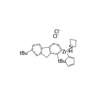 CC(C)(C)c1ccc2c(c1)Cc1c-2cc[c]([Zr+2]([C]2=CC=CC2)[SiH]2CCC2)c1C(C)(C)C.[Cl-].[Cl-]